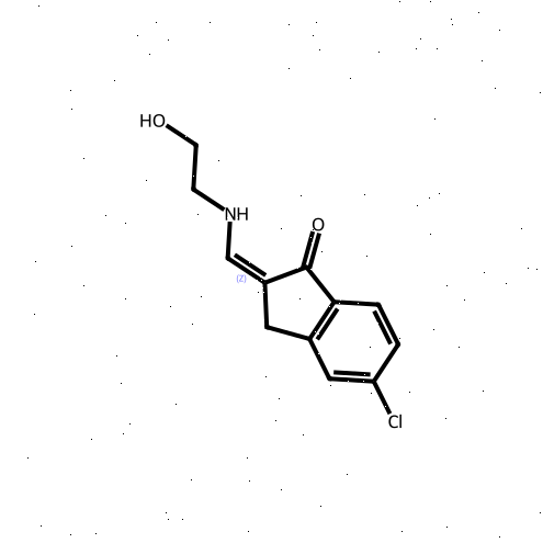 O=C1/C(=C\NCCO)Cc2cc(Cl)ccc21